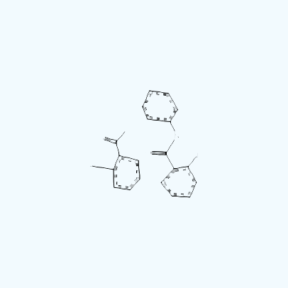 O=C(Nc1ccccc1)c1ccccc1I.O=C(O)c1ccccc1I